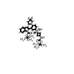 CC(C)(C)OC(=O)NC1CC(S(=N)(=O)c2ccc(N3CCC(F)(F)C3)c(-c3cc4ccccc4n3C(=O)OC(C)(C)C)c2)C1